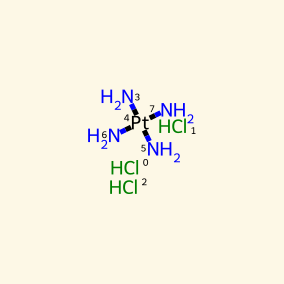 Cl.Cl.Cl.[NH2][Pt]([NH2])([NH2])[NH2]